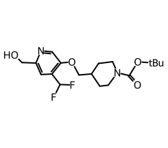 CC(C)(C)OC(=O)N1CCC(COc2cnc(CO)cc2C(F)F)CC1